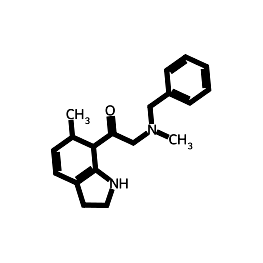 CC1C=CC2=C(NCC2)C1C(=O)CN(C)Cc1ccccc1